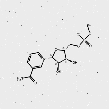 CC(C)OP(=O)([O-])OC[C@H]1O[C@@H]([n+]2cccc(C(N)=O)c2)[C@H](O)[C@@H]1O